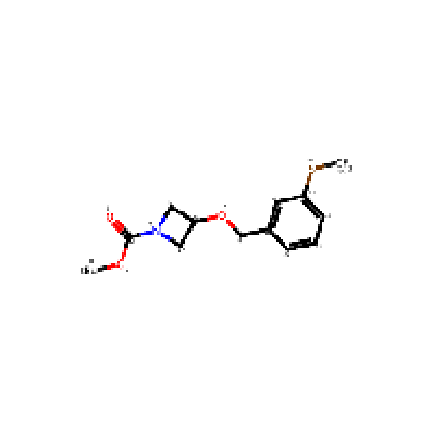 CC(C)(C)OC(=O)N1CC(OCc2cccc(SC(F)(F)F)c2)C1